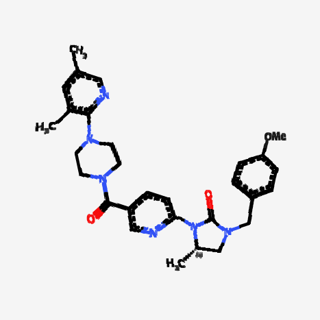 COc1ccc(CN2C[C@H](C)N(c3ccc(C(=O)N4CCN(c5ncc(C)cc5C)CC4)cn3)C2=O)cc1